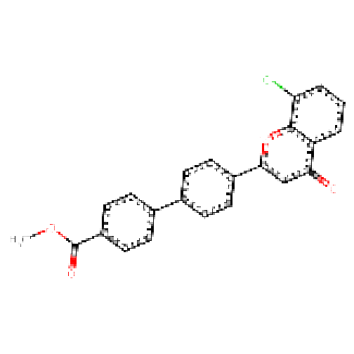 COC(=O)c1ccc(-c2ccc(-c3cc(=O)c4cccc(Cl)c4o3)cc2)cc1